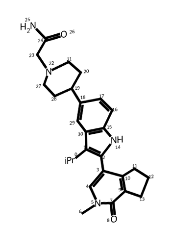 CC(C)c1c(-c2cn(C)c(=O)c3c2CCC3)[nH]c2ccc(C3CCN(CC(N)=O)CC3)cc12